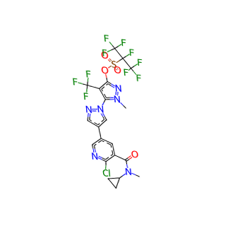 CN(C(=O)c1cc(-c2cnn(-c3c(C(F)(F)F)c(OS(=O)(=O)C(F)(C(F)(F)F)C(F)(F)F)nn3C)c2)cnc1Cl)C1CC1